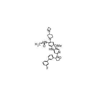 C=CC(=O)Nc1cc(Nc2cc(N3OCCC3c3cccc(-c4cccc(F)c4)c3)ncn2)c(OC)cc1N1CCC(N2CCC2)CC1